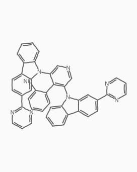 N#Cc1ccccc1-c1c(-n2c3ccccc3c3ccc(-c4ncccn4)cc32)cncc1-n1c2ccccc2c2ccc(-c3ncccn3)cc21